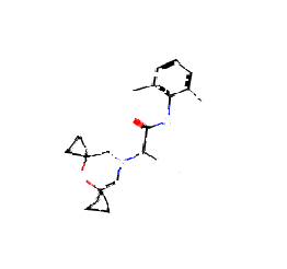 Cc1cccc(C)c1NC(=O)C(C)N1CC2(CC2)OC2(CC2)C1